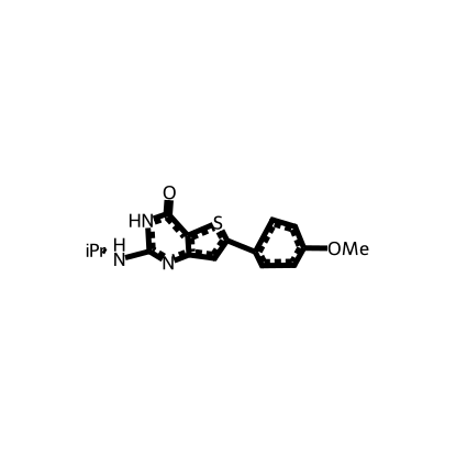 COc1ccc(-c2cc3nc(NC(C)C)[nH]c(=O)c3s2)cc1